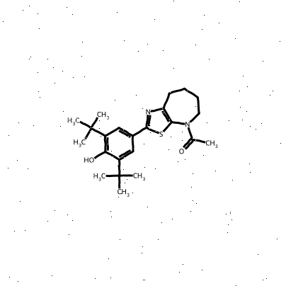 CC(=O)N1CCCCc2nc(-c3cc(C(C)(C)C)c(O)c(C(C)(C)C)c3)sc21